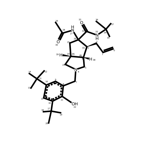 C=CC[C@H]1[C@@H]2CN(Cc3cc(C(C)(C)C)cc(C(C)(C)C)c3O)C[C@@H]2CC1(NC(C)=O)C(=O)NC(C)(C)C